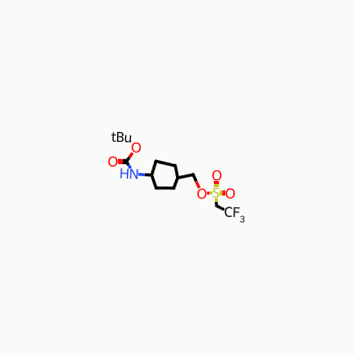 CC(C)(C)OC(=O)NC1CCC(COS(=O)(=O)CC(F)(F)F)CC1